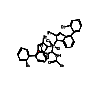 CCC(=O)N[B](NC(=O)CC)[Hf]([Cl])([Cl])([CH]1C(C(C)C)=Cc2c(-c3ccccc3CC)cccc21)[CH]1C(C(C)C)=Cc2c(-c3ccccc3CC)cccc21